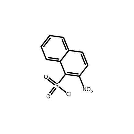 O=[N+]([O-])c1ccc2ccccc2c1S(=O)(=O)Cl